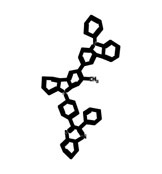 Cc1cc2c(cc1-c1ccc3c(c1)c1ccccc1n3-c1ccccc1)c1ccccc1n2-c1ccc(-c2nc3ccccc3nc2-c2ccccc2)cc1